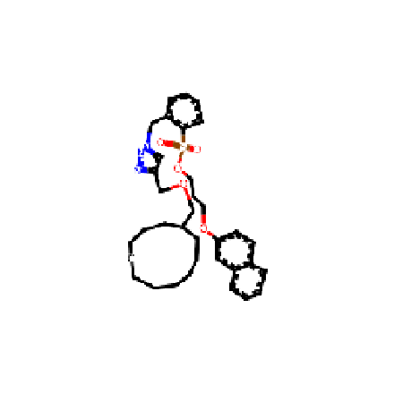 O=S(=O)(OCCCOc1ccc2ccccc2c1)c1ccccc1Cn1cc(COCC2CCCCCCCCCC2)nn1